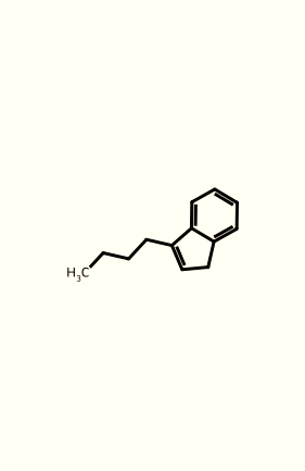 CCCCC1=CCc2ccccc21